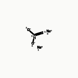 [Na+].[Na+].[O-][PH]([O-])=S